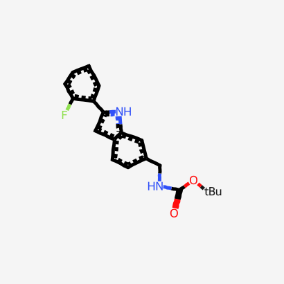 CC(C)(C)OC(=O)NCc1ccc2cc(-c3ccccc3F)[nH]c2c1